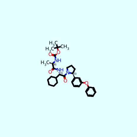 C[C@@H](NC(=O)OC(C)(C)C)C(=O)N[C@H](C(=O)N1CCC[C@H]1c1cccc(Oc2ccccc2)c1)C1CCCCC1